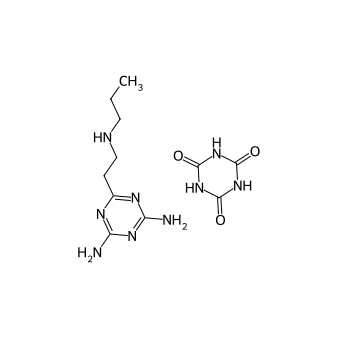 CCCNCCc1nc(N)nc(N)n1.O=c1[nH]c(=O)[nH]c(=O)[nH]1